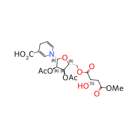 COC(=O)C[C@H](O)C(=O)OC[C@H]1O[C@@H](N2C=CCC(C(=O)O)=C2)[C@H](OC(C)=O)[C@@H]1OC(C)=O